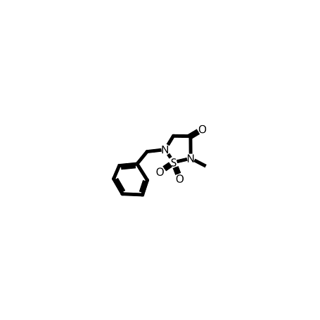 CN1C(=O)CN(Cc2ccccc2)S1(=O)=O